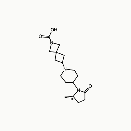 C[C@@H]1CCC(=O)N1C1CCN(C2CC3(C2)CN(C(=O)O)C3)CC1